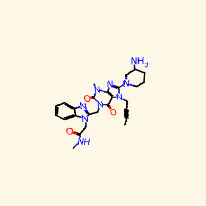 CC#CCn1c(N2CCCC(N)C2)nc2c1c(=O)n(Cc1nc3ccccc3n1CC(=O)NC)c(=O)n2C